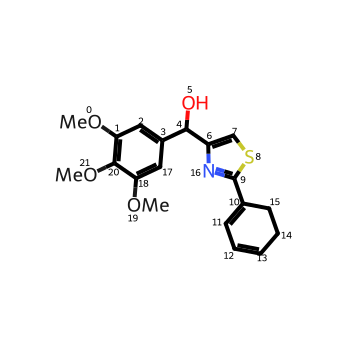 COc1cc(C(O)c2csc(C3=CC=CCC3)n2)cc(OC)c1OC